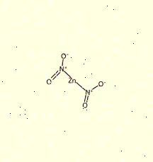 O=[N+]([O-])[Zn][N+](=O)[O-]